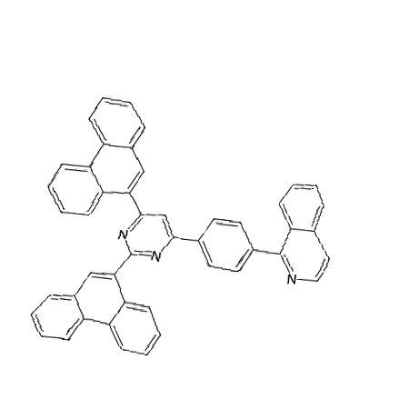 c1ccc2c(-c3ccc(-c4cc(-c5cc6ccccc6c6ccccc56)nc(-c5cc6ccccc6c6ccccc56)n4)cc3)nccc2c1